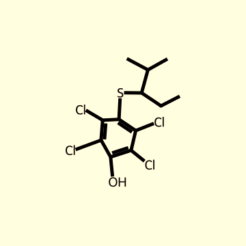 CCC(Sc1c(Cl)c(Cl)c(O)c(Cl)c1Cl)C(C)C